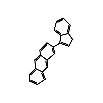 [CH]1C=C(c2ccc3cc4ccccc4cc3c2)c2ccccc21